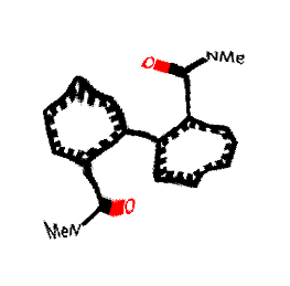 CNC(=O)c1ccccc1-c1ccccc1C(=O)NC